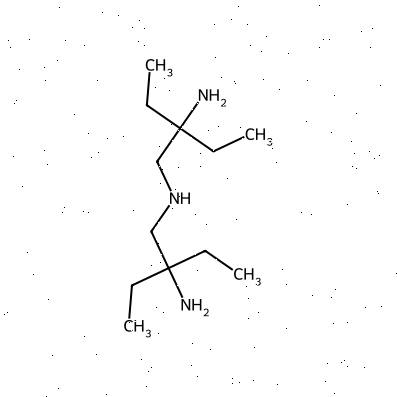 CCC(N)(CC)CNCC(N)(CC)CC